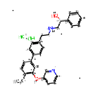 Cl.Cl.O=C(O)c1ccc(-c2ccc(CCNC[C@H](O)c3ccccc3)cc2)cc1Oc1cccnc1